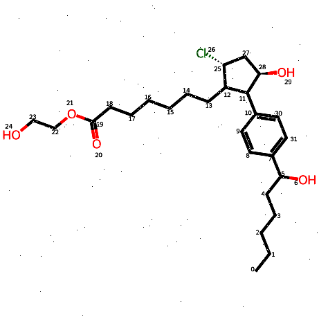 CCCCCC(O)c1ccc(C2C(CCCCCCC(=O)OCCO)[C@H](Cl)C[C@H]2O)cc1